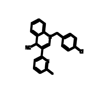 Cc1cccc(C2=CN(Cc3ccc(Cl)cc3)c3ccccc3C2C#N)n1